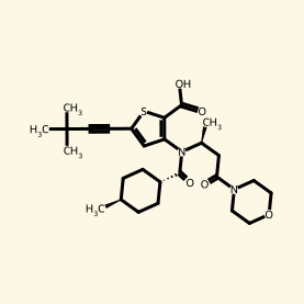 C[C@@H](CC(=O)N1CCOCC1)N(c1cc(C#CC(C)(C)C)sc1C(=O)O)C(=O)[C@H]1CC[C@H](C)CC1